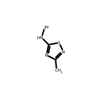 Cc1nsc(NC(C)C)n1